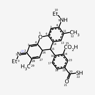 CC/N=C1/C=C2Oc3cc(NCC)c(C)cc3C(c3ccc(C(=O)S)cc3C(=O)O)C2C=C1C